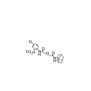 O=C(COCC(=O)NC12CC3CC(CC(C3)C1)C2)Nc1ccc(Cl)cc1C(=O)O